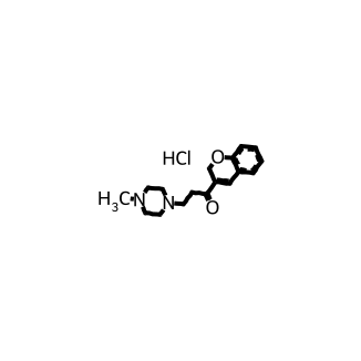 CN1CCN(CCC(=O)C2=Cc3ccccc3OC2)CC1.Cl